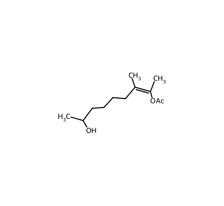 CC(=O)OC(C)=C(C)CCCCC(C)O